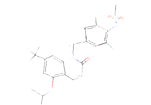 CC(C)Oc1cc(C(F)(F)F)ccc1/C=C\C(=O)N[C@H](C)c1cc(F)c(NS(C)(=O)=O)c(F)c1